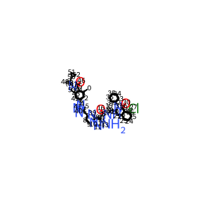 Cc1cc(-n2cc(-c3ccn4nc(N)c(C(=O)N[C@@H](C)c5cc6cccc(Cl)c6c(=O)n5-c5ccccc5)c4n3)nn2)cc2c1C(=O)N([C@@H](C)C1CC1)C2